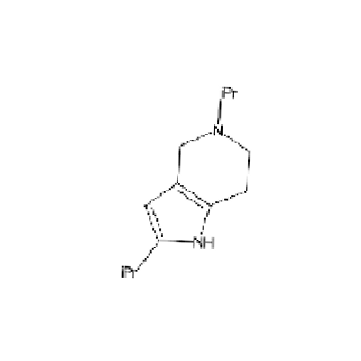 CC(C)c1cc2c([nH]1)CCN(C(C)C)C2